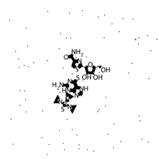 NC(=O)c1csc([C@@H]2O[C@H](CO)[C@@H](O)[C@H]2O)n1.Nc1nc(=S)c2[nH]cnc2[nH]1.S=P(N1CC1)(N1CC1)N1CC1